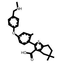 CNCc1ccc(Oc2ccc(-c3sc4c(c3C(=O)O)CC(C)(C)CC4)c(C)c2)cc1